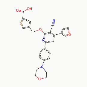 N#Cc1c(-c2ccoc2)cc(-c2ccc(N3CCOCC3)cc2)nc1OCc1csc(C(=O)O)c1